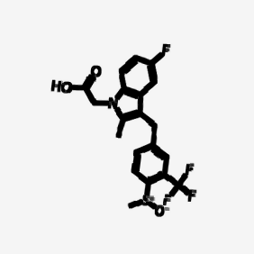 Cc1c(Cc2ccc([S+](C)[O-])c(C(F)(F)F)c2)c2cc(F)ccc2n1CC(=O)O